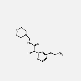 CCOc1ccnc(C(S)C(=O)NCN2CCOCC2)c1